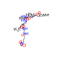 CC#CC[C@@H](C/C=C\NC(=O)[C@@H](NC(=O)\C=C/C=C\C(C)=C\[C@H](C)C1CC=C(OC)C(=O)O1)C(C)(C)C)OC(=O)NCCCNC(=O)CCCCCN1C(=O)C=CC1=O